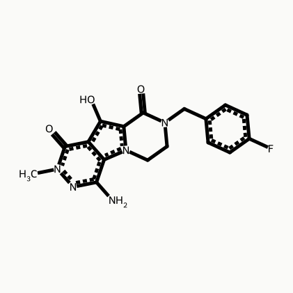 Cn1nc(N)c2c(c(O)c3n2CCN(Cc2ccc(F)cc2)C3=O)c1=O